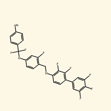 CCCc1ccc(C(F)(F)Oc2ccc(COc3ccc(-c4cc(F)c(F)c(F)c4)c(F)c3F)c(F)c2)cc1